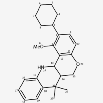 COc1c(C2CCCCC2)ccc2c1C1Nc3ccccc3C(C)(C)C1CO2